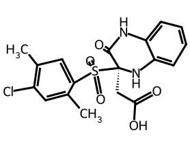 Cc1cc(S(=O)(=O)[C@]2(CC(=O)O)Nc3ccccc3NC2=O)c(C)cc1Cl